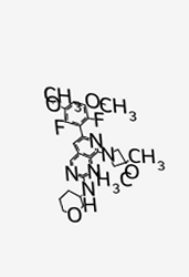 COc1cc(OC)c(F)c(-c2cc3cnc(N[C@H]4CCCOC4)nc3c(N3CC(C)(OC)C3)n2)c1F